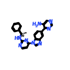 C[C@H](Nc1nccc(-n2cnc3cc(-c4ncncc4N)ccc32)n1)c1ccccc1